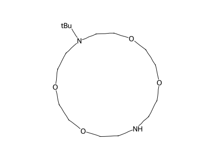 CC(C)(C)N1CCOCCOCCNCCOCCOCC1